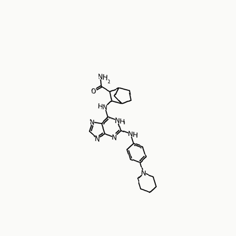 NC(=O)C1C2CCC(C2)C1Nc1[nH]c(Nc2ccc(N3CCCCC3)cc2)nc2ncnc1-2